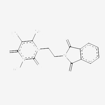 CCCn1c(=O)c(N)c(N)n(CCN2C(=O)c3ccccc3C2=O)c1=O